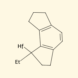 CC[C]1([Hf])CCc2ccc3c(c21)CCC3